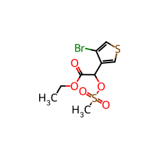 CCOC(=O)C(OS(C)(=O)=O)c1cscc1Br